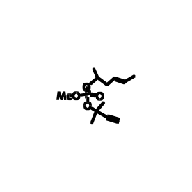 C#CC(C)(C)OP(=O)(OC)OC(C)CC=CC